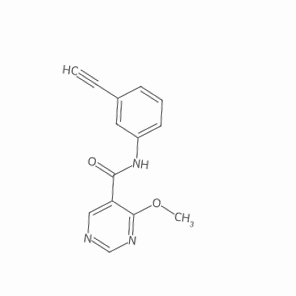 C#Cc1cccc(NC(=O)c2cncnc2OC)c1